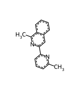 Cc1cccc(-c2cc3ccccc3c(C)n2)n1